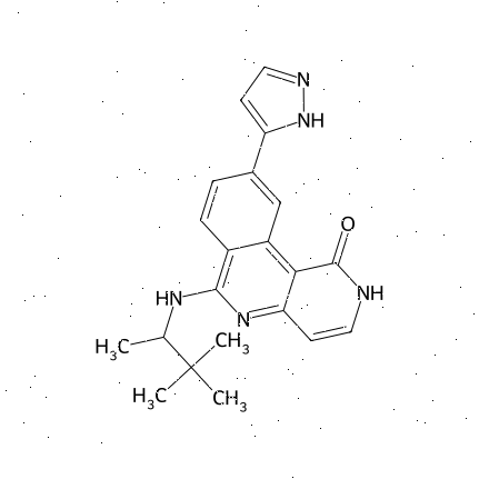 CC(Nc1nc2cc[nH]c(=O)c2c2cc(-c3ccn[nH]3)ccc12)C(C)(C)C